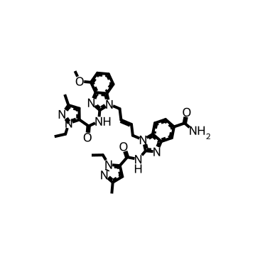 CCn1nc(C)cc1C(=O)Nc1nc2cc(C(N)=O)ccc2n1C/C=C/Cn1c(NC(=O)c2cc(C)nn2CC)nc2c(OC)cccc21